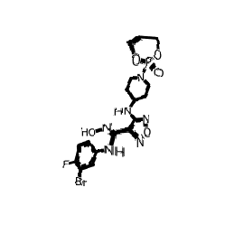 O=P1(N2CCC(Nc3nonc3C(=NO)Nc3ccc(F)c(Br)c3)CC2)OC=CCO1